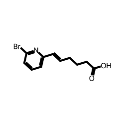 O=C(O)CCCC=Cc1cccc(Br)n1